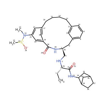 CC[C@H](NC[C@@H]1Cc2cccc(c2)CCCCc2cc(cc(N(C)[S+](C)[O-])c2)C(=O)N1)C(=O)NC1CC2CCC1C2